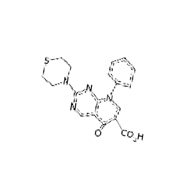 O=C(O)c1cn(-c2ccccc2)c2nc(N3CCSCC3)ncc2c1=O